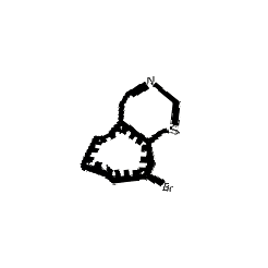 Brc1cccc2c1SCN=C2